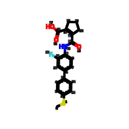 CSc1ccc(-c2ccc(NC(=O)C3=C(C(=O)O)CCC3)c(F)c2)cc1